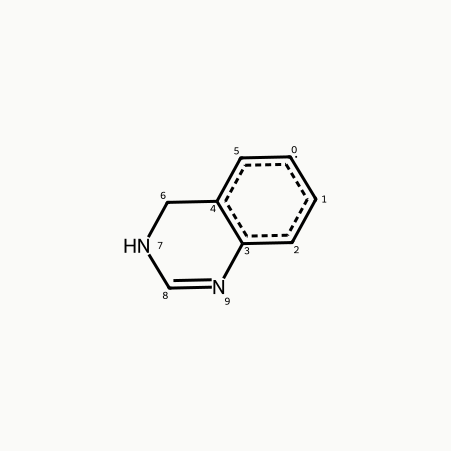 [c]1ccc2c(c1)CNC=N2